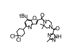 Cc1n[nH]c(C(=O)N2CCN(C(=O)c3cc4nc(C5CCC(Cl)(Cl)CC5)cc(C(C)(C)C)c4o3)C(C)(C)C2)n1